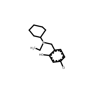 CCN(Cc1ccc(Cl)cc1O)C1CCCCC1